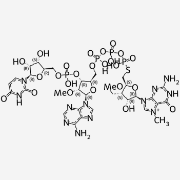 COC[C@H]1[C@@H](O)[C@H](n2c[n+](C)c3c(=O)[nH]c(N)nc32)O[C@@H]1CSP(=O)(O)OP(=O)(O)OP(=O)(O)OC[C@H]1O[C@@H](n2cnc3c(N)ncnc32)[C@H](OC)[C@@H]1OP(=O)(O)OC[C@H]1O[C@@H](n2ccc(=O)[nH]c2=O)[C@H](O)[C@@H]1O